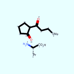 CC(C)[C@H](N)C(=O)O.CSCCC(=O)C1CCCC1=O